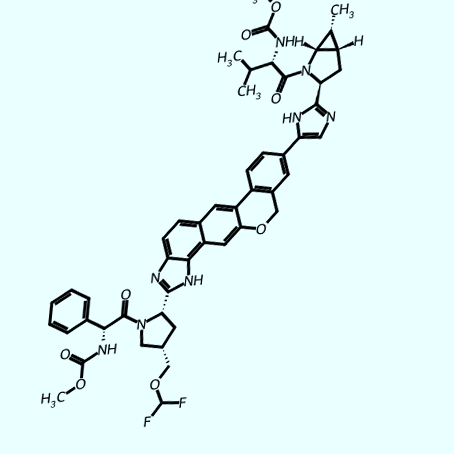 COC(=O)N[C@H](C(=O)N1[C@@H]2[C@H](C)[C@@H]2C[C@H]1c1ncc(-c2ccc3c(c2)COc2cc4c(ccc5nc([C@@H]6C[C@H](COC(F)F)CN6C(=O)[C@H](NC(=O)OC)c6ccccc6)[nH]c54)cc2-3)[nH]1)C(C)C